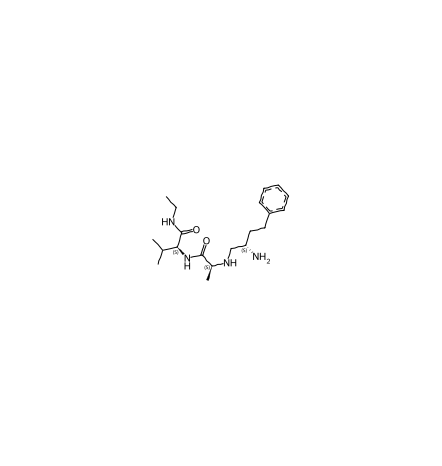 CCNC(=O)[C@@H](NC(=O)[C@H](C)NC[C@@H](N)CCc1ccccc1)C(C)C